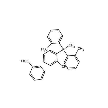 Cc1ccccc1[P+](C)(c1ccccc1C)c1ccccc1C.O=C([O-])c1ccccc1